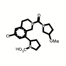 COC1CCN(C(=O)N2CCc3cc(Cl)cc(C4CCCN4C(=O)O)c3C2)C1